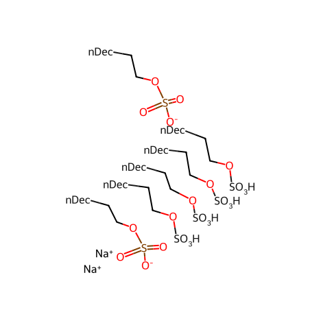 CCCCCCCCCCCCOS(=O)(=O)O.CCCCCCCCCCCCOS(=O)(=O)O.CCCCCCCCCCCCOS(=O)(=O)O.CCCCCCCCCCCCOS(=O)(=O)O.CCCCCCCCCCCCOS(=O)(=O)[O-].CCCCCCCCCCCCOS(=O)(=O)[O-].[Na+].[Na+]